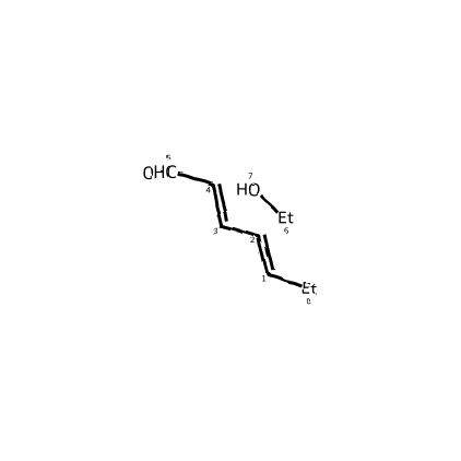 CCC=CC=CC=O.CCO